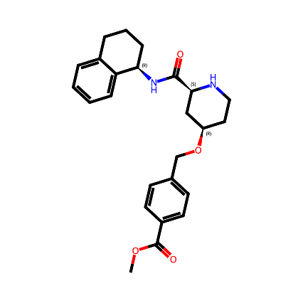 COC(=O)c1ccc(CO[C@@H]2CCN[C@H](C(=O)N[C@@H]3CCCc4ccccc43)C2)cc1